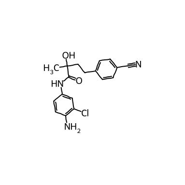 CC(O)(CCc1ccc(C#N)cc1)C(=O)Nc1ccc(N)c(Cl)c1